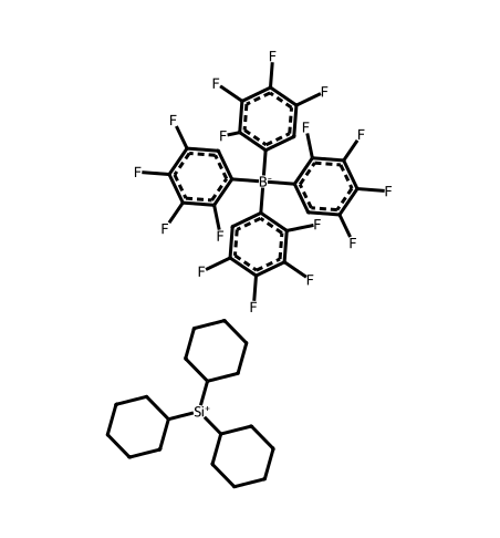 C1CCC([Si+](C2CCCCC2)C2CCCCC2)CC1.Fc1cc([B-](c2cc(F)c(F)c(F)c2F)(c2cc(F)c(F)c(F)c2F)c2cc(F)c(F)c(F)c2F)c(F)c(F)c1F